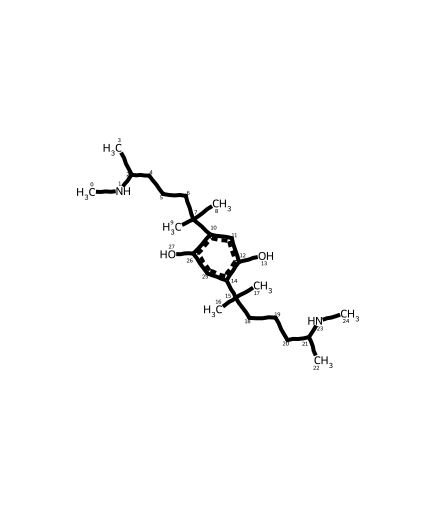 CNC(C)CCCC(C)(C)c1cc(O)c(C(C)(C)CCCC(C)NC)cc1O